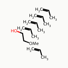 C=CC.C=CC.C=CC.C=CC.C=CC.COCCO